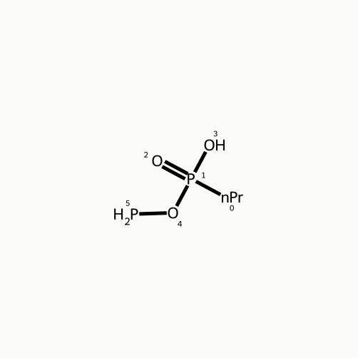 CCCP(=O)(O)OP